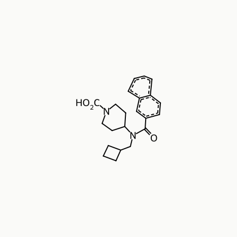 O=C(O)N1CCC(N(CC2CCC2)C(=O)c2ccc3ccccc3c2)CC1